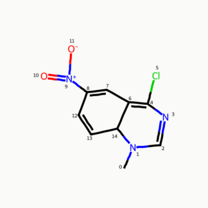 CN1C=NC(Cl)=C2C=C([N+](=O)[O-])C=CC21